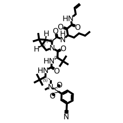 C=CCNC(=O)C(=O)C(CCCC)NC(=O)[C@@H]1[C@@H]2[C@H](CN1C(=O)[C@@H](NC(=O)N[C@H](CN(C)S(=O)(=O)c1cccc(C#N)c1)C(C)(C)C)C(C)(C)C)C2(C)C